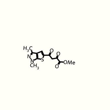 COC(=O)C(=O)CC(=O)c1cc2c(C)nn(C)c2s1